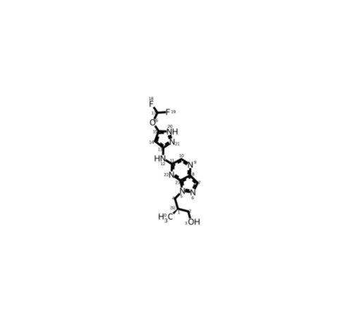 C[C@H](CO)Cn1ncc2ncc(Nc3cc(OC(F)F)[nH]n3)nc21